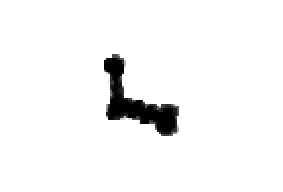 C=C(C)C(=O)OCCCCCCCCCCCn1c2ccccc2c2cc(-c3cc4sc(-c5cc6sc(-c7ccc8c(c7)c7ccccc7n8OC(=O)C(=C)C)cc6s5)cc4s3)ccc21